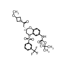 COC1CN(C(=O)C[C@H]2CN(S(=O)(=O)c3cccc(C(F)(F)F)c3)c3cc(NC(=O)OC(C)(C)C)ccc3O2)C1